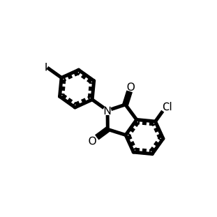 O=C1c2cccc(Cl)c2C(=O)N1c1ccc(I)cc1